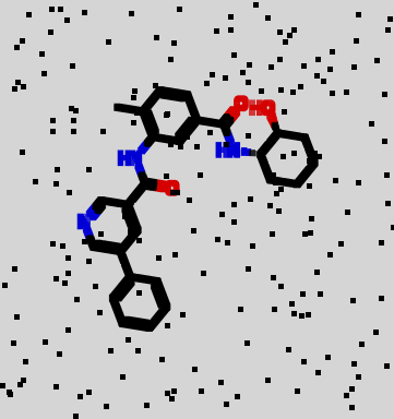 Cc1ccc(C(=O)N[C@H]2CCCC[C@@H]2O)cc1NC(=O)c1cncc(-c2ccccc2)c1